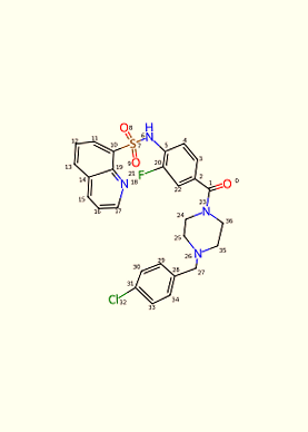 O=C(c1ccc(NS(=O)(=O)c2cccc3cccnc23)c(F)c1)N1CCN(Cc2ccc(Cl)cc2)CC1